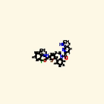 CNc1cccc(C(=O)N2CCc3cc(C(=O)Nc4c(C)cccc4F)sc3-c3ccccc32)n1